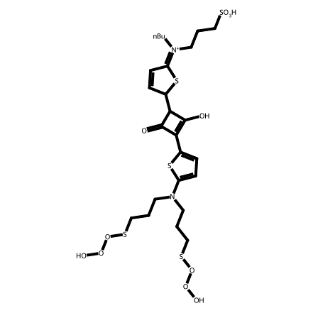 CCCC/[N+](CCCS(=O)(=O)O)=C1\C=CC(C2C(=O)C(c3ccc(N(CCCSOOO)CCCSOOO)s3)=C2O)S1